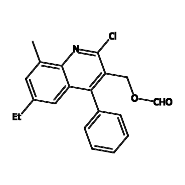 CCc1cc(C)c2nc(Cl)c(COC=O)c(-c3ccccc3)c2c1